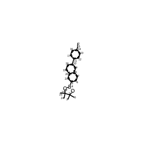 CC1(C)OB(c2ccc3cc(-c4ccc(F)cc4)ccc3c2)OC1(C)C